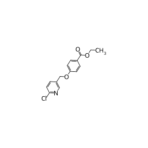 CCOC(=O)c1ccc(OCc2ccc(Cl)nc2)cc1